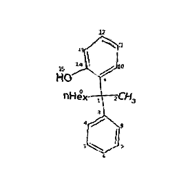 CCCCCCC(C)(c1ccccc1)c1ccccc1O